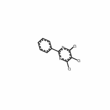 Clc1nc(-c2ccccc2)nc(Cl)c1Cl